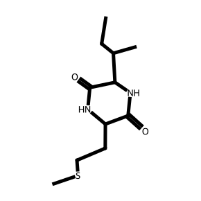 CCC(C)C1NC(=O)C(CCSC)NC1=O